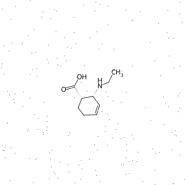 CCN[C@@H]1C=CCC[C@@H]1C(=O)O